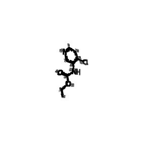 CCOC(=O)Nc1cnccc1Cl